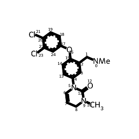 CNCc1cc(N2C=CCN(C)C2=O)ccc1Oc1ccc(Cl)c(Cl)c1